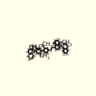 CC(C)c1cc(/C=C/c2ccc(N3c4ccccc4C=CC3(C)C)c3ccccc23)ccc1C1C=CC(N2C3=C(C=CC2(C)C)CCC=C3)=CC1C